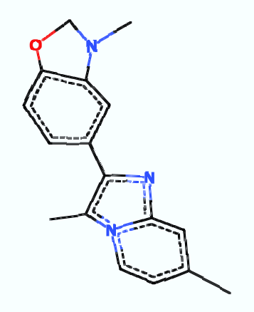 Cc1ccn2c(C)c(-c3ccc4c(c3)N(C)CO4)nc2c1